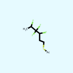 CC(=O)SCCC(F)C(F)(F)C(C)F